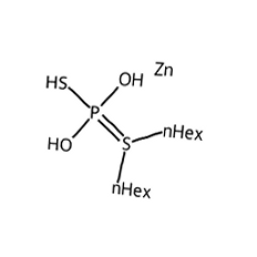 CCCCCCS(CCCCCC)=P(O)(O)S.[Zn]